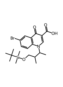 CC(CO[Si](C)(C)C(C)(C)C)C(C)n1cc(C(=O)O)c(=O)c2cc(Br)ccc21